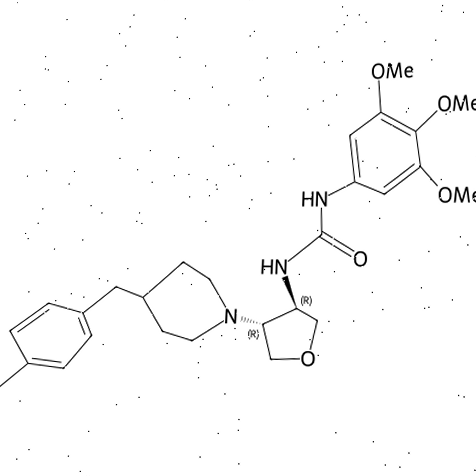 COc1cc(NC(=O)N[C@H]2COC[C@@H]2N2CCC(Cc3ccc(Cl)cc3)CC2)cc(OC)c1OC